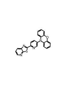 c1ccc2c(c1)Oc1ccccc1N2c1ccc(-c2nc3cccnc3s2)nc1